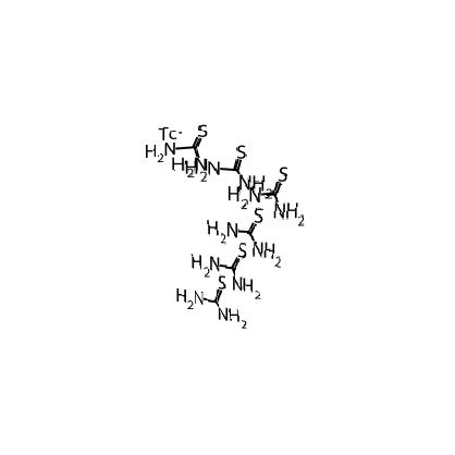 NC(N)=S.NC(N)=S.NC(N)=S.NC(N)=S.NC(N)=S.NC(N)=S.[Tc]